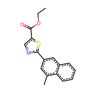 CCOC(=O)c1cnc(-c2cc(C)c3ccccc3c2)s1